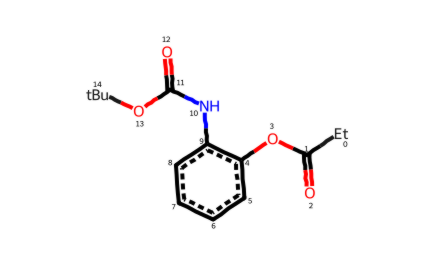 CCC(=O)Oc1ccccc1NC(=O)OC(C)(C)C